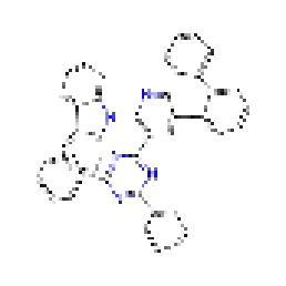 c1ccc(-c2nc(-c3ccccc3)nc(-c3cc(-c4ccccc4-c4ccccc4)cnc3-n3c4ccccc4c4ccccc43)n2)cc1